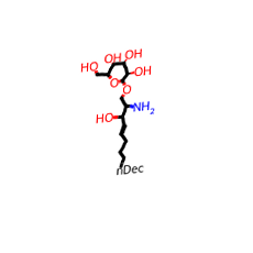 CCCCCCCCCCCCC/C=C/C(O)C(N)COC1OC(CO)[C@H](O)[C@H](O)[C@H]1O